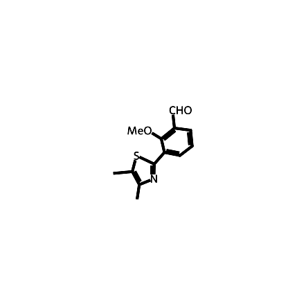 COc1c(C=O)cccc1-c1nc(C)c(C)s1